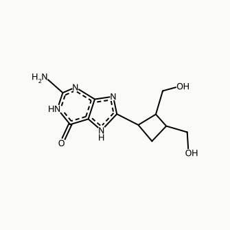 Nc1nc2nc(C3CC(CO)C3CO)[nH]c2c(=O)[nH]1